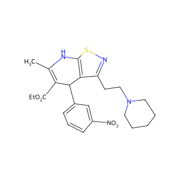 CCOC(=O)C1=C(C)Nc2snc(CCN3CCCCC3)c2C1c1cccc([N+](=O)[O-])c1